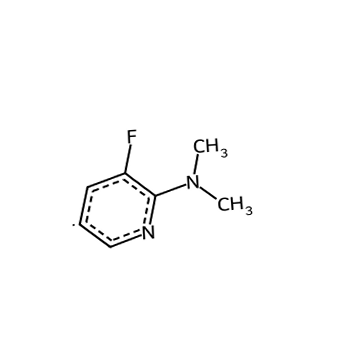 CN(C)c1nc[c]cc1F